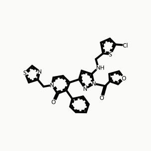 O=C(c1ccoc1)n1nc(-c2ccn(Cc3cscn3)c(=O)c2-c2ccccc2)cc1NCc1ccc(Cl)s1